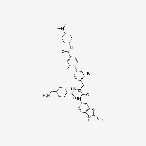 Cc1cc(C(=O)NC2CCC(N(C)C)CC2)ccc1-c1ccc(C[C@H](NC(=O)C2CCC(CN)CC2)C(=O)Nc2ccc3[nH]c(C(F)(F)F)nc3c2)cc1.Cl